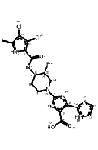 Cc1[nH]c(C(=O)N[C@@H]2CCN(c3nc(-c4ncc[nH]4)c(C(=O)O)s3)C[C@@H]2F)c(Cl)c1Cl